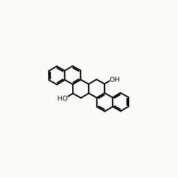 OC1CC2c3ccc4ccccc4c3C(O)CC2c2ccc3ccccc3c21